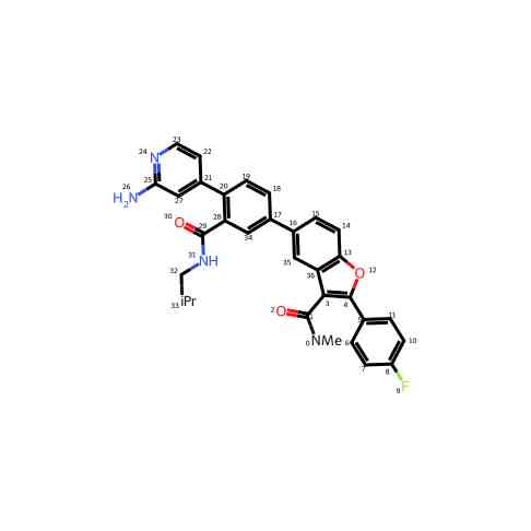 CNC(=O)c1c(-c2ccc(F)cc2)oc2ccc(-c3ccc(-c4ccnc(N)c4)c(C(=O)NCC(C)C)c3)cc12